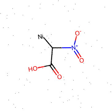 O=C(O)[CH]([Ni])[N+](=O)[O-]